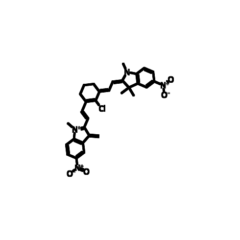 C=C1C(/C=C/C2=C(Cl)C(=C/C=C3/N(C)c4ccc([N+](=O)[O-])cc4C3(C)C)/CCC2)=[N+](C)c2ccc([N+](=O)[O-])cc21